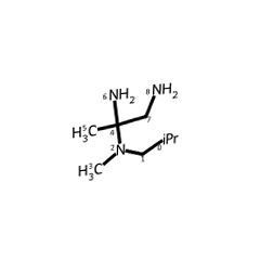 CC(C)CN(C)C(C)(N)CN